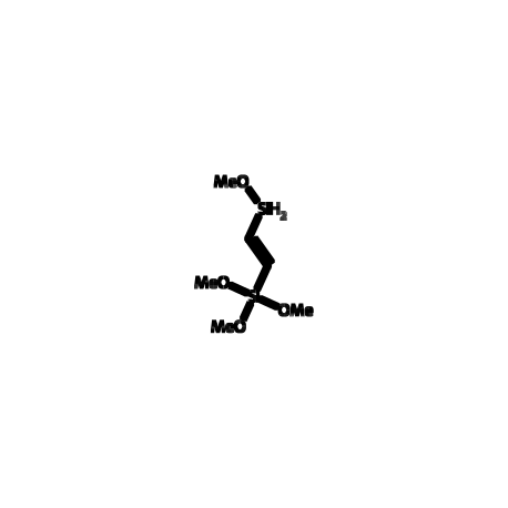 CO[SiH2]C=C[Si](OC)(OC)OC